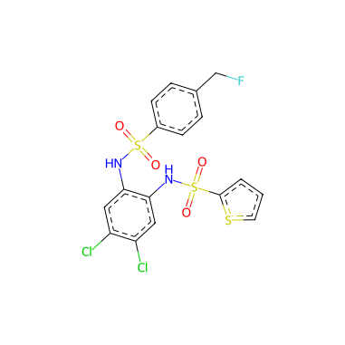 O=S(=O)(Nc1cc(Cl)c(Cl)cc1NS(=O)(=O)c1cccs1)c1ccc(CF)cc1